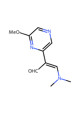 COc1cncc(C(C=O)=CN(C)C)n1